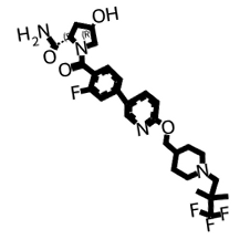 CC(C)(CN1CCC(COc2ccc(-c3ccc(C(=O)N4C[C@H](O)C[C@H]4C(N)=O)c(F)c3)cn2)CC1)C(F)(F)F